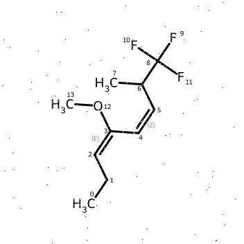 CC/C=C(\C=C/C(C)C(F)(F)F)OC